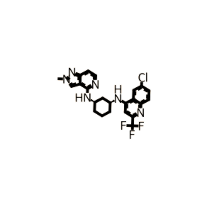 Cn1cc2c(N[C@@H]3CCC[C@H](Nc4cc(C(F)(F)F)nc5ccc(Cl)cc45)C3)nccc2n1